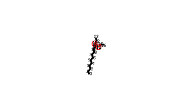 CCCCCCCCCC[Si](OCC)OCC